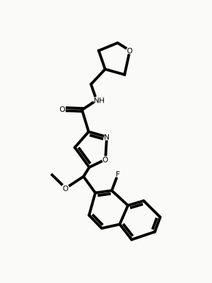 COC(c1cc(C(=O)NCC2CCOC2)no1)c1ccc2ccccc2c1F